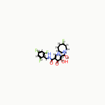 O=C(NCc1c(F)cc(F)cc1F)c1cn2c(c(O)c1=O)C(=O)N1CCC(F)CCC2C1